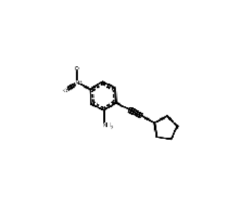 Nc1cc([N+](=O)[O-])ccc1C#CC1CCCC1